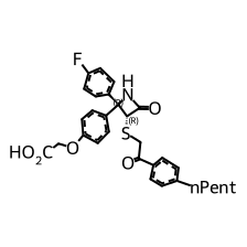 CCCCCc1ccc(C(=O)CS[C@H]2C(=O)N[C@@]2(c2ccc(F)cc2)c2ccc(OCC(=O)O)cc2)cc1